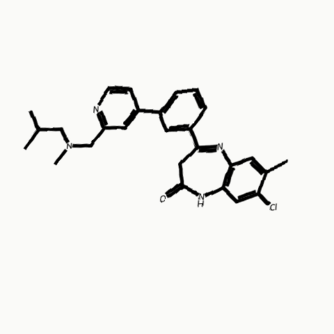 Cc1cc2c(cc1Cl)NC(=O)CC(c1cccc(-c3ccnc(CN(C)CC(C)C)c3)c1)=N2